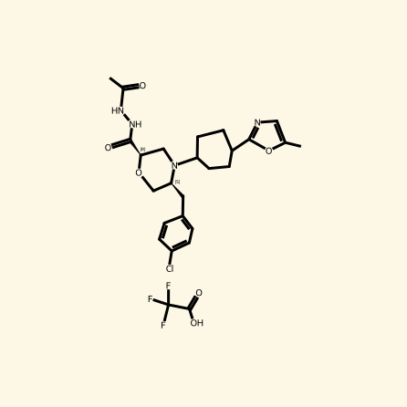 CC(=O)NNC(=O)[C@H]1CN(C2CCC(c3ncc(C)o3)CC2)[C@@H](Cc2ccc(Cl)cc2)CO1.O=C(O)C(F)(F)F